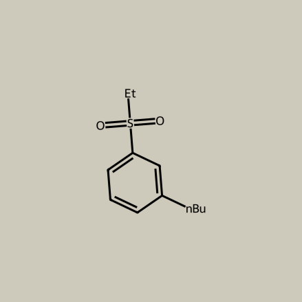 CCCCc1cccc(S(=O)(=O)CC)c1